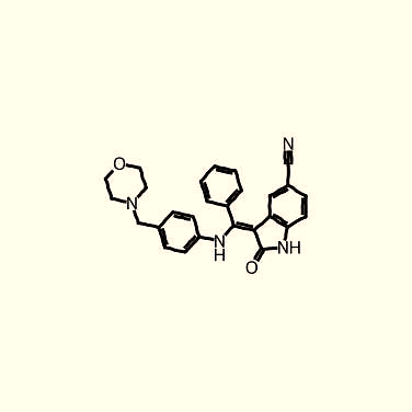 N#Cc1ccc2c(c1)/C(=C(/Nc1ccc(CN3CCOCC3)cc1)c1ccccc1)C(=O)N2